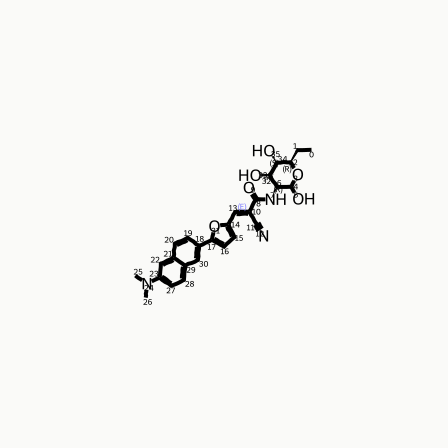 CC[C@H]1OC(O)[C@H](NC(=O)/C(C#N)=C/c2ccc(-c3ccc4cc(N(C)C)ccc4c3)o2)[C@@H](O)[C@@H]1O